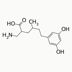 CC(CCc1cc(O)cc(O)c1)CC(CN)C(=O)O